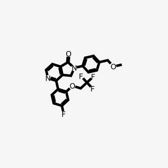 COCc1ccc(N2Cc3c(ccnc3-c3ccc(F)cc3OCC(F)(F)F)C2=O)cc1